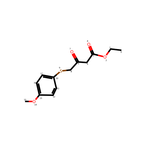 CCOC(=O)CC(=O)CSc1ccc(OC)cc1